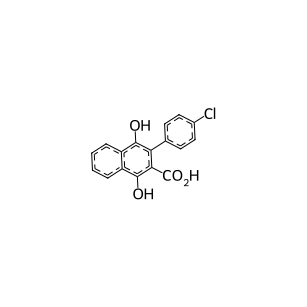 O=C(O)c1c(-c2ccc(Cl)cc2)c(O)c2ccccc2c1O